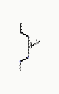 CCCCC/C=C\CCCC/C=C\CCCCCC(CCCCC/C=C\CCCC/C=C\CCCCC)OC(=O)CCCN(CC)CC